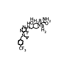 BC(B)(C(N)=O)N1CCC(CNc2ncnc(N(Cc3ccc(C(F)(F)F)cc3)C3CC3)c2F)C(O)C1